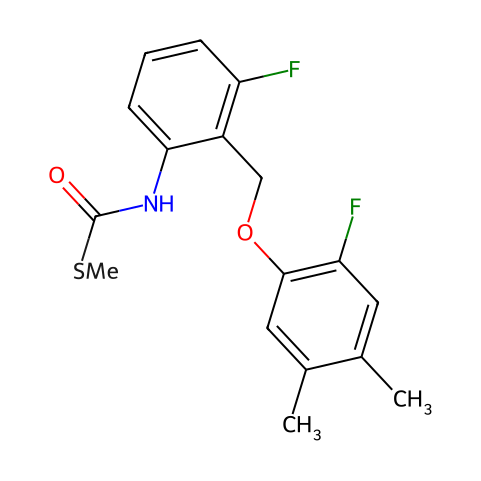 CSC(=O)Nc1cccc(F)c1COc1cc(C)c(C)cc1F